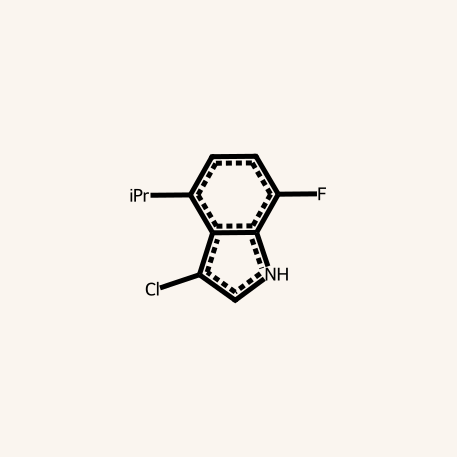 CC(C)c1ccc(F)c2[nH]cc(Cl)c12